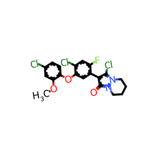 COc1cc(Cl)ccc1Oc1cc(-c2c(Cl)n3n(c2=O)CCCC3)c(F)cc1Cl